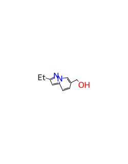 CCc1cc2ccc(CO)cn2n1